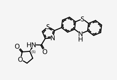 O=C(N[C@H]1CCOC1=O)c1csc(-c2ccc3c(c2)Nc2ccccc2S3)n1